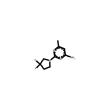 Cc1cc(N)nc(N2CCC(F)(F)C2)n1